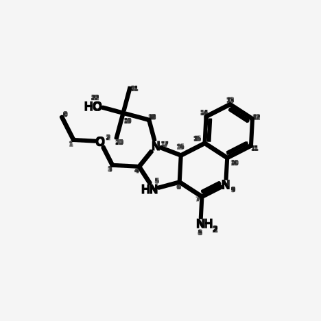 CCOCC1NC2C(N)=Nc3ccccc3C2N1CC(C)(C)O